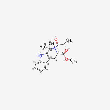 CCC(=O)N1C(C(=O)OC)Cc2c([nH]c3ccccc23)C1(C)C